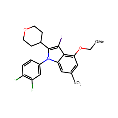 COCOc1cc([N+](=O)[O-])cc2c1c(I)c(C1CCOCC1)n2-c1ccc(F)c(F)c1